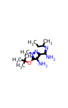 CCC(C)/N=C(/N)c1nn(C)c(OC(C)(C)C)c1N